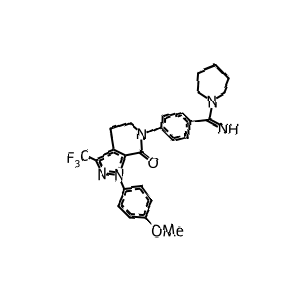 COc1ccc(-n2nc(C(F)(F)F)c3c2C(=O)N(c2ccc(C(=N)N4CCCCC4)cc2)CC3)cc1